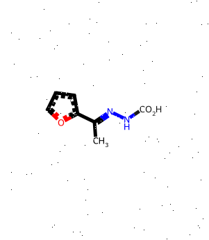 CC(=NNC(=O)O)c1ccco1